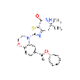 CC1(C)Cc2nc(N3CCOc4ccc(-c5cc6ccccc6o5)cc43)sc2C(=O)N1